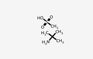 CC(C)(C)N.CS(=O)(=O)O